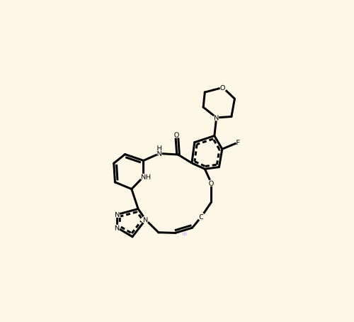 O=C1NC2=CC=CC(N2)c2nncn2C/C=C\CCOc2cc(F)c(N3CCOCC3)cc21